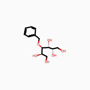 OC[C@@H](O)[C@@H](OCc1ccccc1)[C@H](O)[C@@H](O)CO